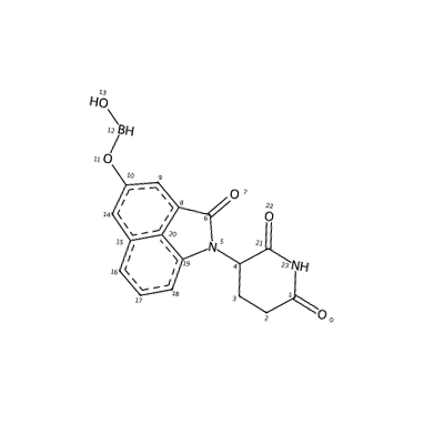 O=C1CCC(N2C(=O)c3cc(OBO)cc4cccc2c34)C(=O)N1